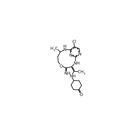 C/C(NC1CCC(=O)CC1)=C1\Nc2ncc(Cl)c(n2)NC(C)CCOC1=N